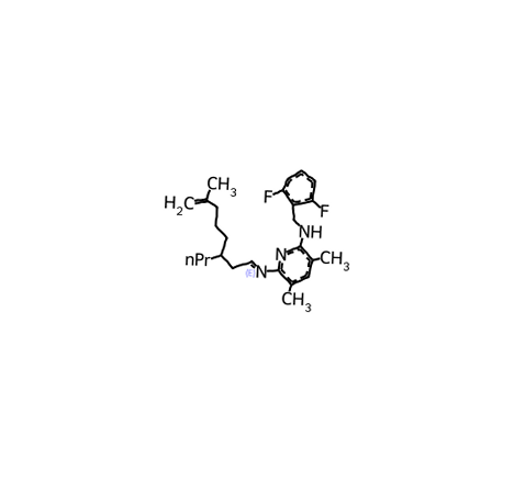 C=C(C)CCCC(C/C=N/c1nc(NCc2c(F)cccc2F)c(C)cc1C)CCC